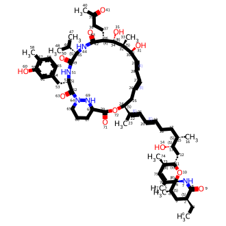 CC[C@H]1C[C@H](C)[C@@]2(NC1=O)O[C@@H](C[C@H](O)[C@@H](C)CC/C=C/C=C(\C)[C@@H]1C/C=C/C=C/[C@H](O)[C@H](C)[C@@H](O)[C@@H](CCC(C)=O)C(=O)N[C@@H](C(C)C)C(=O)N[C@@H](Cc3ccc(C)c(O)c3)C(=O)N3CCCC(N3)C(=O)O1)[C@H](C)C=C2C